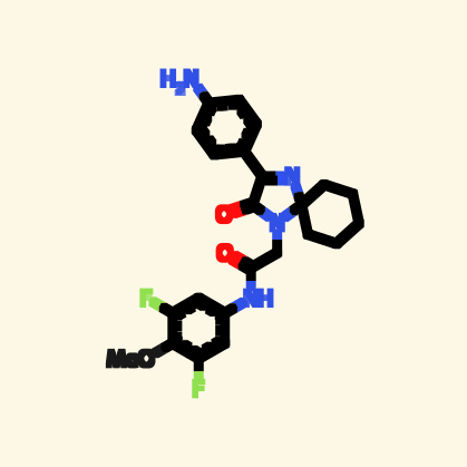 COc1c(F)cc(NC(=O)CN2C(=O)C(c3ccc(N)cc3)=NC23CCCCC3)cc1F